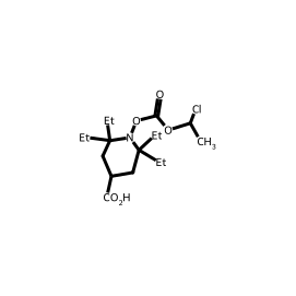 CCC1(CC)CC(C(=O)O)CC(CC)(CC)N1OC(=O)OC(C)Cl